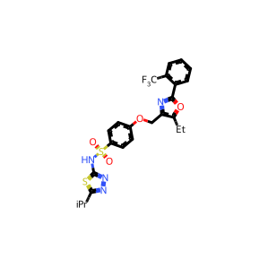 CCc1oc(-c2ccccc2C(F)(F)F)nc1COc1ccc(S(=O)(=O)Nc2nnc(C(C)C)s2)cc1